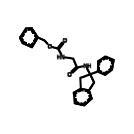 O=C(CNC(=O)OCc1ccccc1)NC1(c2ccccc2)Cc2ccccc2C1